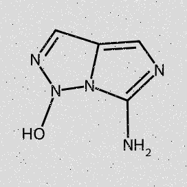 Nc1ncc2cnn(O)n12